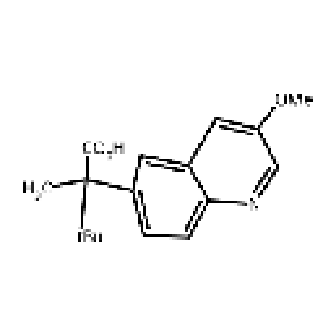 COc1cnc2ccc(C(C)(C(=O)O)C(C)(C)C)cc2c1